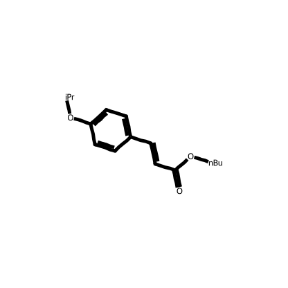 CCCCOC(=O)C=Cc1ccc(OC(C)C)cc1